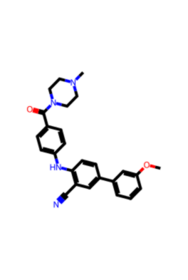 COc1cccc(-c2ccc(Nc3ccc(C(=O)N4CCN(C)CC4)cc3)c(C#N)c2)c1